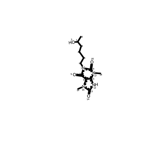 CC(O)CCCCn1c(=O)c2c([nH]c(=O)n2C)n(C)c1=O